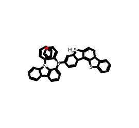 C1=CC2c3cccc(N(C4=CC5[SiH2]C6=CCC7C(=C6C5C=C4)Sc4ccccc47)c4ccccc4)c3N(c3ccccc3)C2C=C1